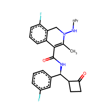 CCCNN1Cc2c(F)cccc2C(C(=O)N[C@H](c2cccc(F)c2)C2CCC2=O)=C1C